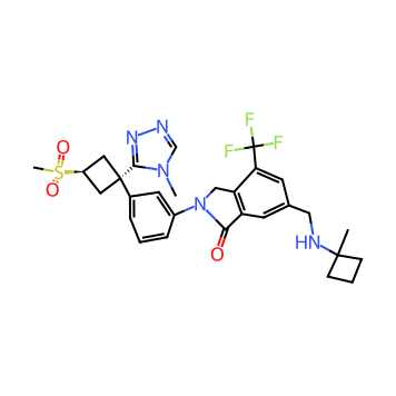 Cn1cnnc1[C@]1(c2cccc(N3Cc4c(cc(CNC5(C)CCC5)cc4C(F)(F)F)C3=O)c2)C[C@@H](S(C)(=O)=O)C1